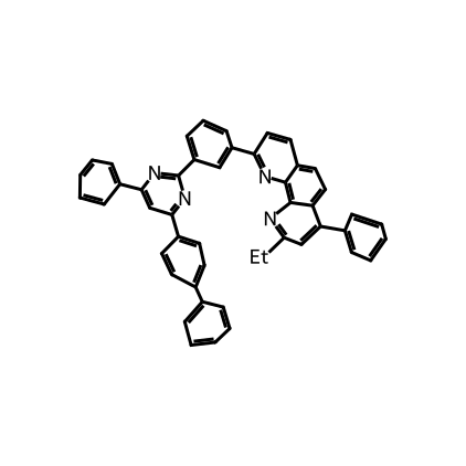 CCc1cc(-c2ccccc2)c2ccc3ccc(-c4cccc(-c5nc(-c6ccccc6)cc(-c6ccc(-c7ccccc7)cc6)n5)c4)nc3c2n1